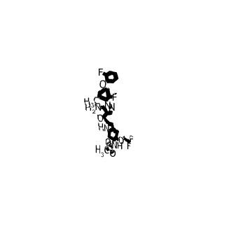 Cc1cc(Oc2ccccc2F)cc(F)c1-n1ncc(C(=O)c2cc3cc(OCC(F)F)c(NS(C)(=O)=O)cc3[nH]2)c1N